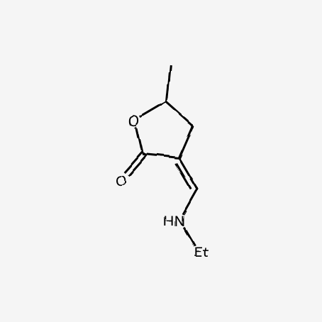 CCN/C=C1/CC(C)OC1=O